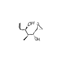 C=C[C@@H](O)[C@H](C)[C@@H](O)[C@H]1CO1